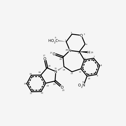 O=C(O)[C@@H]1COC[C@@H]2c3cccc([N+](=O)[O-])c3C[C@H](N3C(=O)c4ccccc4C3=O)C(=O)N21